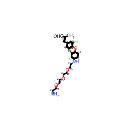 C/C(C=O)=C\c1cc(F)c(Oc2ccc(NCCOCCOCCOCCN)cc2)c(F)c1